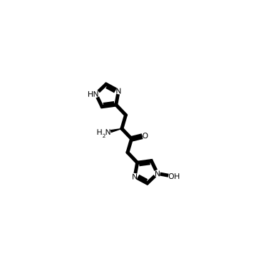 N[C@@H](Cc1c[nH]cn1)C(=O)Cc1cn(O)cn1